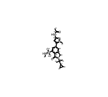 CNS(=O)(=O)c1cc(-c2cc(NC(C)=O)nn2C)cc2c1C(=O)N(C(C)(C)C1CC1)C2